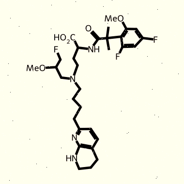 COc1cc(F)cc(F)c1C(C)(C)C(=O)NC(CCN(CCCCc1ccc2c(n1)NCCC2)CC(CF)OC)C(=O)O